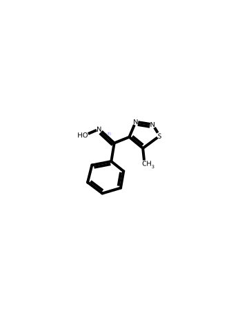 Cc1snnc1/C(=N/O)c1ccccc1